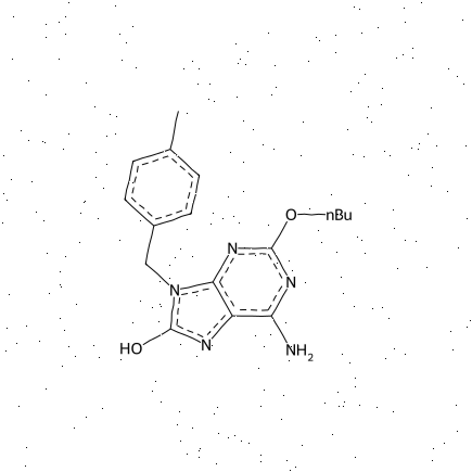 CCCCOc1nc(N)c2nc(O)n(Cc3ccc(C)cc3)c2n1